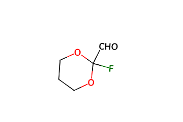 O=CC1(F)OCCCO1